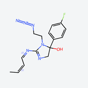 C/C=C\C=N/C1=NCC(O)(c2ccc(F)cc2)N1CCN=[N+]=[N-]